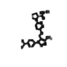 CCNC(=O)[C@@H]1CCCN1c1ccc(OCc2c(C)nnn2-c2ccc(C(F)F)cc2)nn1